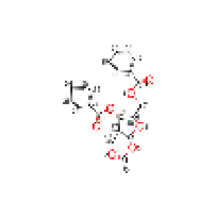 CC(=O)OC1O[C@H](COC(=O)c2ccccc2)[C@@H](OC(=O)c2ccccc2)C1(C)C